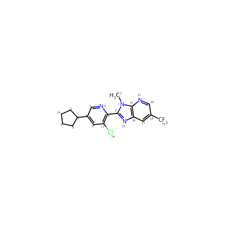 Cn1c(-c2ncc(C3CCCC3)cc2Cl)nc2cc(C(F)(F)F)cnc21